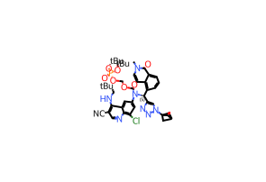 Cn1ccc2c([C@@H](c3cn(C45CC(C4)C5)nn3)N(C(=O)OCOP(=O)(OC(C)(C)C)OC(C)(C)C)c3cc(Cl)c4ncc(C#N)c(NCC(C)(C)C)c4c3)cccc2c1=O